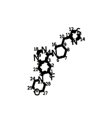 Fc1cc2c(N3CCCC(Cc4cscn4)C3)ncnc2cc1N1CCOCC1